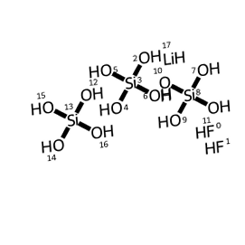 F.F.O[Si](O)(O)O.O[Si](O)(O)O.O[Si](O)(O)O.[LiH]